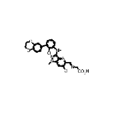 Cn1nc(Nc2cccc(-c3ccc4c(c3)OCCO4)c2Cl)c2nc(C=NCC(=O)O)c(Cl)cc21